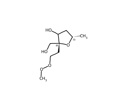 COOCC[C@]1(CO)O[C@@H](C)CC1O